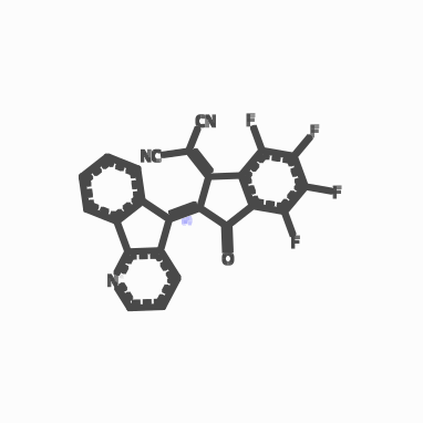 N#CC(C#N)=C1/C(=C2\c3ccccc3-c3ncccc32)C(=O)c2c(F)c(F)c(F)c(F)c21